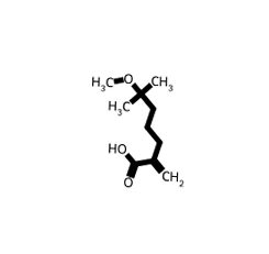 C=C(CCCC(C)(C)OC)C(=O)O